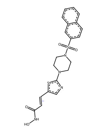 O=C(/C=C/c1cnc(N2CCN(S(=O)(=O)c3ccc4ccccc4c3)CC2)s1)NO